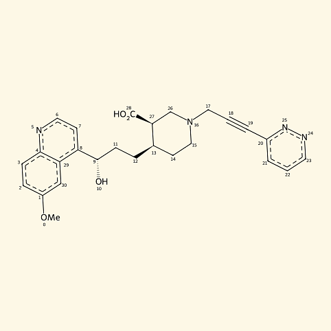 COc1ccc2nccc([C@@H](O)CC[C@@H]3CCN(CC#Cc4cccnn4)C[C@@H]3C(=O)O)c2c1